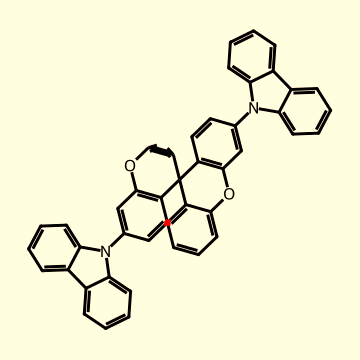 c1ccc2c(c1)Oc1cc(-n3c4ccccc4c4ccccc43)ccc1C21c2ccccc2Oc2cc(-n3c4ccccc4c4ccccc43)ccc21